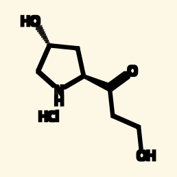 Cl.O=C(CCO)[C@@H]1C[C@@H](O)CN1